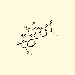 Cc1cc(=O)oc2cc(O[C@]3(c4ccc5c(C)cc(=O)oc5c4)O[C@H](C)[C@H](O)[C@H](O)[C@H]3O)ccc12